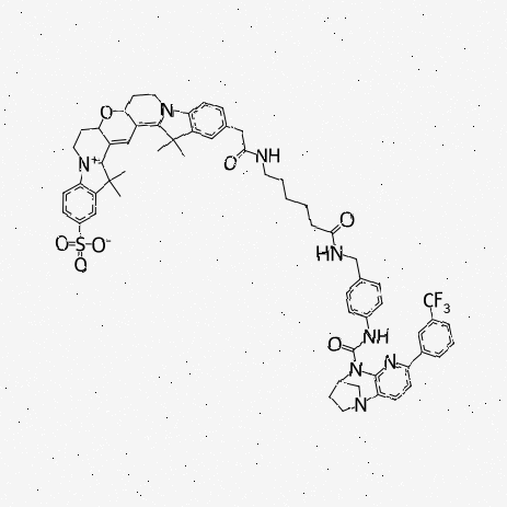 CC1(C)C2=C3C=C4C5=[N+](CCC4OC3CCN2c2ccc(CC(=O)NCCCCCC(=O)NCc3ccc(NC(=O)N4c6nc(-c7cccc(C(F)(F)F)c7)ccc6N6CCC4C6)cc3)cc21)c1ccc(S(=O)(=O)[O-])cc1C5(C)C